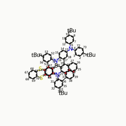 CC(C)(C)c1ccc(N(c2ccc(C(C)(C)C)cc2)c2ccc3c(c2)-c2c4c(cc5ccccc25)N(c2ccc(C(C)(C)C)cc2-c2ccccc2)c2cc5c(cc2B4N3c2ccc(C(C)(C)C)cc2-c2ccccc2)Sc2ccccc2S5)cc1